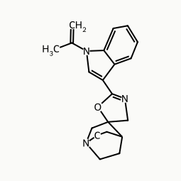 C=C(C)n1cc(C2=NCC3(CN4CCC3CC4)O2)c2ccccc21